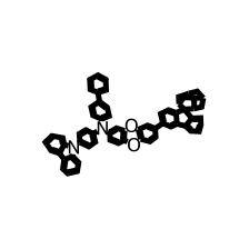 c1ccc(-c2ccc(N(c3ccc(-n4c5ccccc5c5ccccc54)cc3)c3ccc4c(c3)Oc3cc(-c5ccc6c(c5)-c5ccccc5C65C6CC7CC(C6)CC5C7)ccc3O4)cc2)cc1